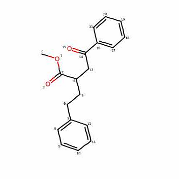 COC(=O)C(CCc1ccccc1)CC(=O)c1ccccc1